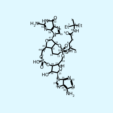 CCC(C)(CC)NC(=O)CCC(C)SSCCC1C2OP(=O)(O)OC[C@H]3O[C@@H](n4cnc5c(N)ncnc54)C(O)C3OP(=O)(O)OC[C@H]1O[C@H]2n1cnc2c(=O)[nH]c(N)nc21